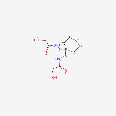 O=C(CO)NCC1(CNC(=O)CO)CCCCC1